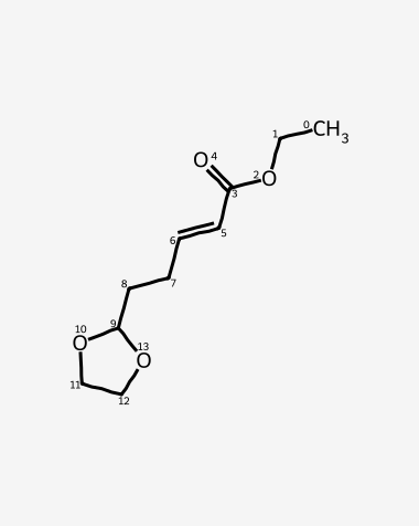 CCOC(=O)/C=C/CCC1OCCO1